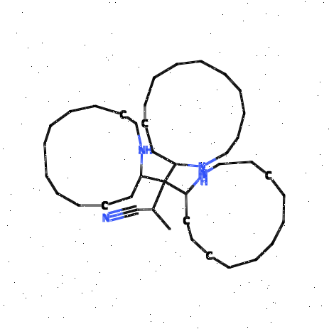 CC(C#N)C(C1CCCCCCCCCCCN1)(C1CCCCCCCCCCCN1)C1CCCCCCCCCCCN1